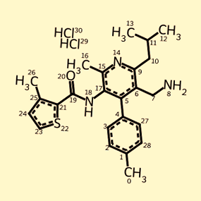 Cc1ccc(-c2c(CN)c(CC(C)C)nc(C)c2NC(=O)c2sccc2C)cc1.Cl.Cl